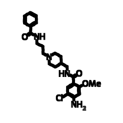 COc1cc(N)c(Cl)cc1C(=O)NCC1CCN(CCCNC(=O)c2ccccc2)CC1